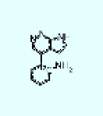 N[12c]1ccccc1-c1cnnc2[nH]ccc12